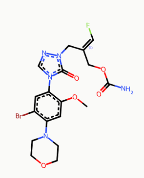 COc1cc(N2CCOCC2)c(Br)cc1-n1cnn(C/C(=C\F)COC(N)=O)c1=O